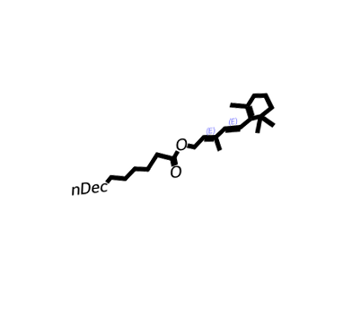 CCCCCCCCCCCCCCCC(=O)OC/C=C(C)/C=C/C1=C(C)CCCC1(C)C